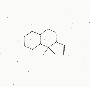 C=CC1CCC2CCCCC2C1(C)C